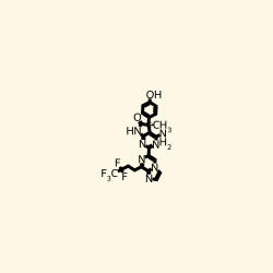 C[C@@]1(c2ccc(O)cc2)C(=O)Nc2nc(-c3cn4ccnc4c(CCC(F)(F)C(F)(F)F)n3)nc(N)c21